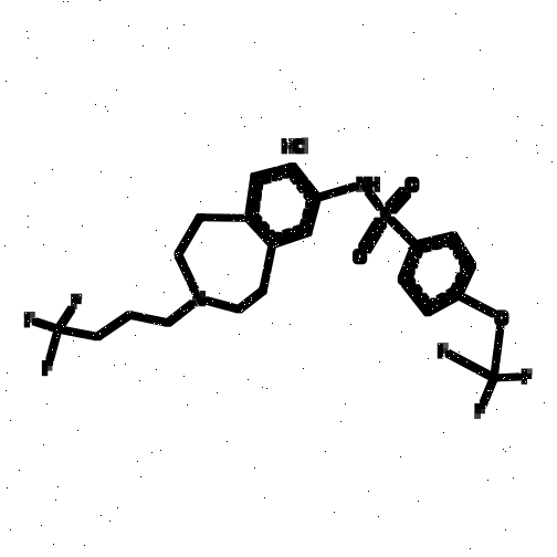 Cl.O=S(=O)(Nc1ccc2c(c1)CCN(CCCC(F)(F)F)CC2)c1ccc(OC(F)(F)F)cc1